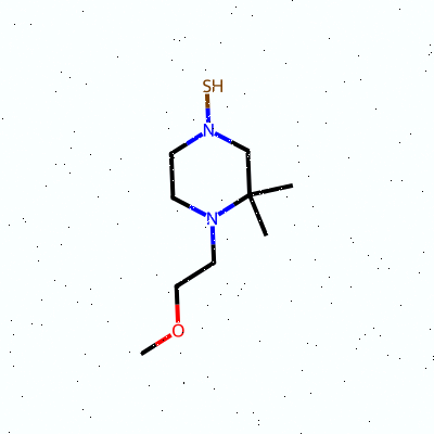 COCCN1CCN(S)CC1(C)C